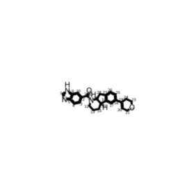 O=C(c1ccc2nc[nH]c2c1)N1CCC[C@@H]2c3cc(C4=CCOCC4)ccc3C[C@@H]21